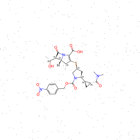 C[C@@H](O)[C@H]1C(=O)N2C(C(=O)O)=C(S[C@H]3C[C@@H]([C@@H]4C[C@H]4C(=O)N(C)C)N(C(=O)OCc4ccc([N+](=O)[O-])cc4)C3)[C@H](C)[C@H]12